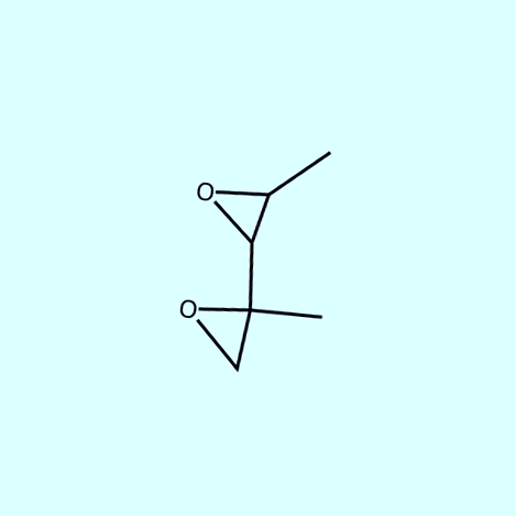 CC1OC1C1(C)CO1